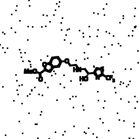 COC(=O)c1cc2cc(OCCNC[C@@H](O)c3csc(C(F)(F)F)n3)ccc2o1